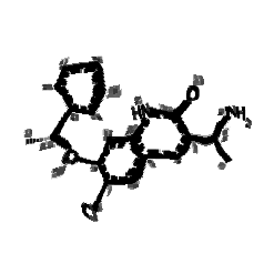 C[C@H](N)c1cc2cc(Cl)c(O[C@H](C)c3ccccc3)cc2[nH]c1=O